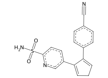 N#Cc1ccc(C2=CCC=C2c2ccc(S(N)(=O)=O)nc2)cc1